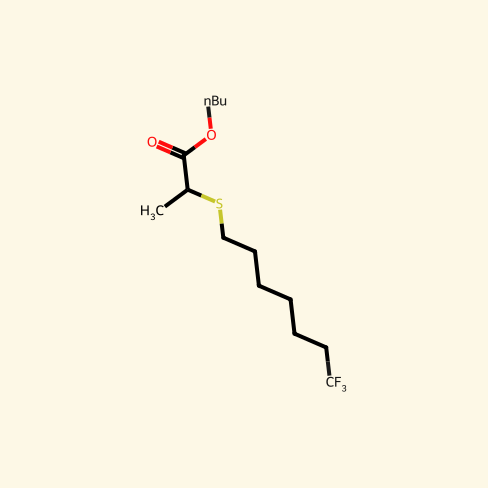 CCCCOC(=O)C(C)SCCCCCCC(F)(F)F